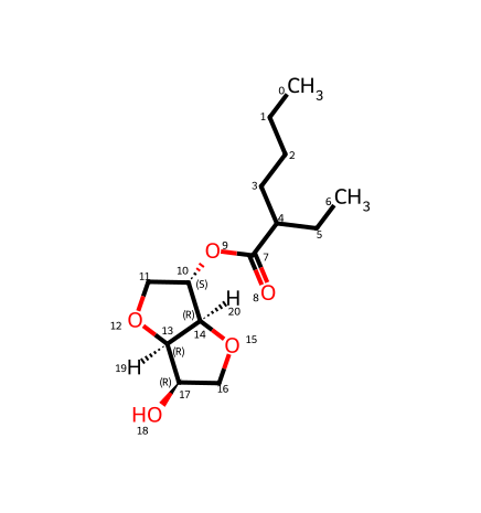 CCCCC(CC)C(=O)O[C@H]1CO[C@H]2[C@@H]1OC[C@H]2O